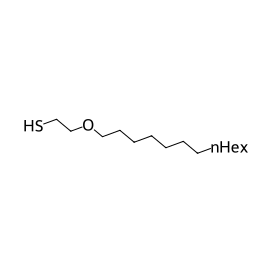 CCCCCCCCCCCCCOCCS